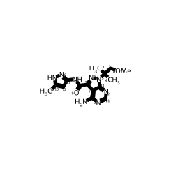 COCC(C)(C)n1nc(C(=O)Nc2cc(C)[nH]n2)c2c(N)ncnc21